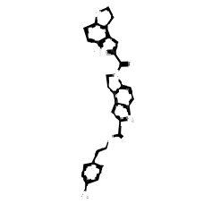 O=C(OCCc1ccc([N+](=O)[O-])cc1)c1cc2c3c(ccc2[nH]1)N(C(=O)c1cc2c4c(ccc2[nH]1)NCC4)CC3